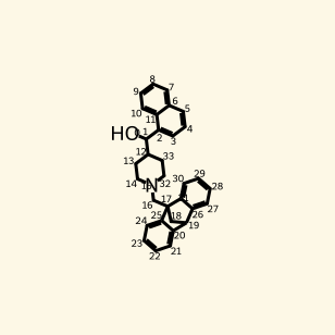 OC(c1cccc2ccccc12)C1CCN(CC23CC(c4ccccc42)c2ccccc23)CC1